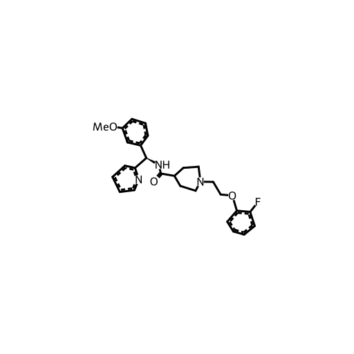 COc1cccc([C@@H](NC(=O)C2CCN(CCOc3ccccc3F)CC2)c2ccccn2)c1